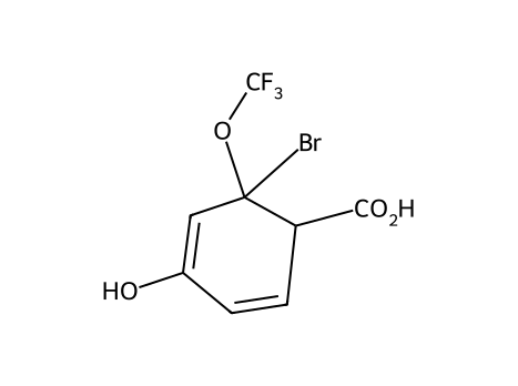 O=C(O)C1C=CC(O)=CC1(Br)OC(F)(F)F